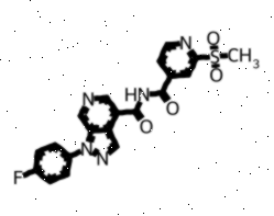 CS(=O)(=O)c1cc(C(=O)NC(=O)c2cncc3c2cnn3-c2ccc(F)cc2)ccn1